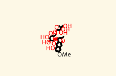 COc1cc(O)c2c(OC3OC(COC4OCC(O)(CO)C4O)C(O)C(O)C3O)c3c(=O)cc(C)oc3cc2c1